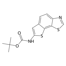 CC(C)(C)OC(=O)Nc1cc2ccc3ncsc3c2s1